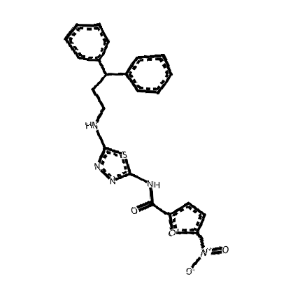 O=C(Nc1nnc(NCCC(c2ccccc2)c2ccccc2)s1)c1ccc([N+](=O)[O-])o1